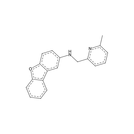 Cc1cccc(CNc2ccc3oc4ccccc4c3c2)n1